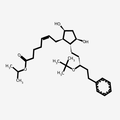 CC(C)OC(=O)CCC/C=C\C[C@@H]1[C@@H](CC[C@H](CCc2ccccc2)OC(C)(C)C)[C@H](O)C[C@@H]1O